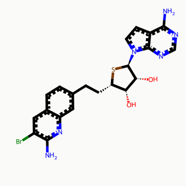 Nc1nc2cc(CC[C@@H]3S[C@@H](n4ccc5c(N)ncnc54)[C@H](O)[C@@H]3O)ccc2cc1Br